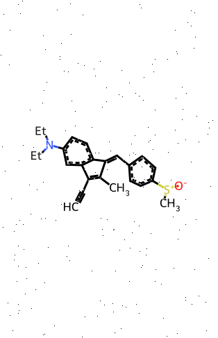 C#CC1=C(C)C(=Cc2ccc([S+](C)[O-])cc2)c2ccc(N(CC)CC)cc21